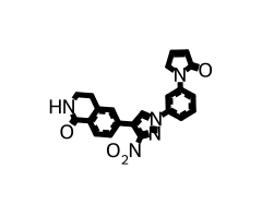 O=C1NCCc2cc(-c3cn(-c4cccc(N5CC=CC5=O)c4)nc3[N+](=O)[O-])ccc21